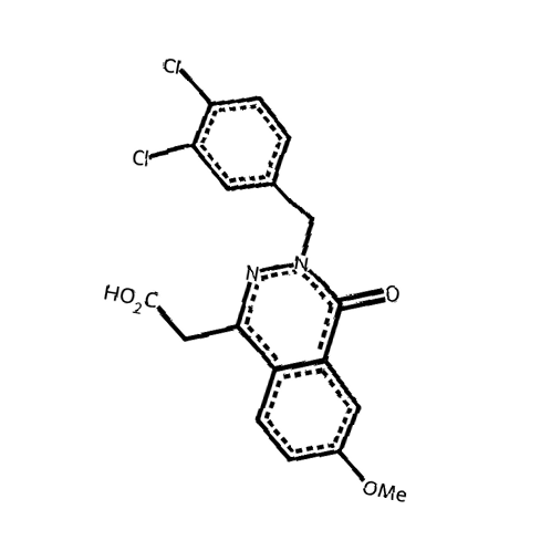 COc1ccc2c(CC(=O)O)nn(Cc3ccc(Cl)c(Cl)c3)c(=O)c2c1